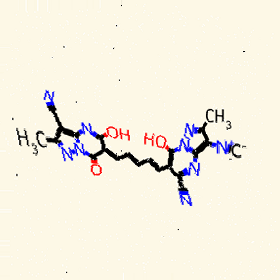 [C-]#[N+]c1c(C)nn2c(O)c(C=CC=C/C=c3\c(O)nc4c(C#N)c(C)nn4c3=O)c(C#N)nc12